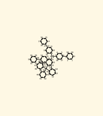 c1ccc(-c2ccc(N(c3ccc(-c4ccccc4)cc3)c3cc4c(c5cc(-c6ccccc6)ccc35)C(c3ccccc3)(c3ccccc3)c3ccccc3-4)cc2)cc1